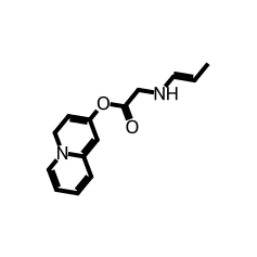 CC=CNCC(=O)OC1=CCN2C=CC=CC2=C1